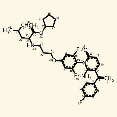 C=C(c1ccc(F)cc1)c1ccc(=O)n(-c2c(F)cc(OCCCN[C@@H](CC(C)C)C(=C)OC3CCCC3)cc2F)c1N